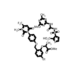 CCc1ccc(COc2ccc(-n3c(=O)cc(C(F)(F)F)n(C)c3=O)cc2)c(OC(C)C(=O)OC)c1.COc1nc(C)nc(NC(=O)NS(=O)(=O)c2ccsc2C(=O)O)n1